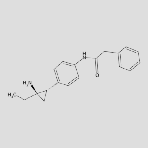 CC[C@@]1(N)C[C@H]1c1ccc(NC(=O)Cc2ccccc2)cc1